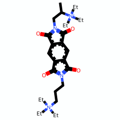 CC[N+](CC)(CC)CCCn1c(=O)c2cc3c(=O)n(CC(C)[N+](CC)(CC)CC)c(=O)c3cc2c1=O